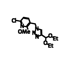 CCOC(OCC)c1cn(Cc2ccc(Cl)nc2OC)nn1